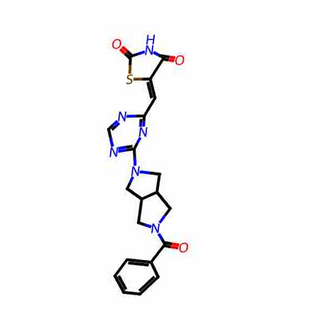 O=C1NC(=O)/C(=C/c2ncnc(N3CC4CN(C(=O)c5ccccc5)CC4C3)n2)S1